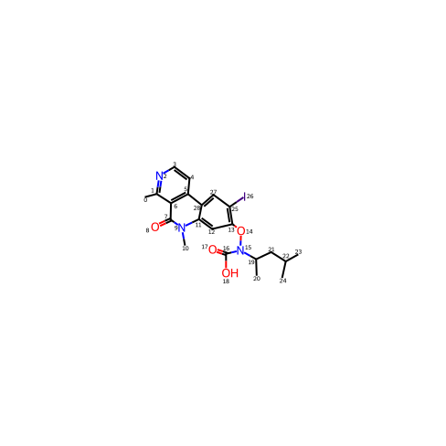 Cc1nccc2c1c(=O)n(C)c1cc(ON(C(=O)O)C(C)CC(C)C)c(I)cc21